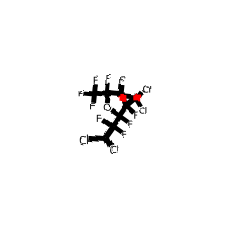 FC(F)(F)C(F)(OC(F)(C(F)(F)F)C(F)(F)C(Cl)Cl)C(F)(F)C(Cl)Cl